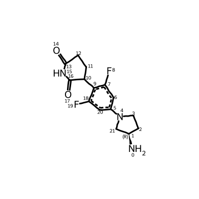 N[C@@H]1CCN(c2cc(F)c(C3CCC(=O)NC3=O)c(F)c2)C1